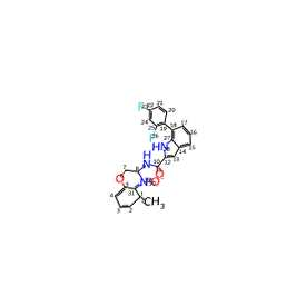 CC1C=CC=C2OCC(NC(=O)c3cc4cccc(-c5ccc(F)cc5F)c4[nH]3)[N+]([O-])=C21